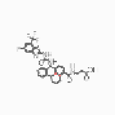 O=C(O)CCNC(=O)c1ccc(C(NC(=O)Nc2nc3cc(F)cc(C(F)(F)F)c3s2)c2ccccc2C2CC=CCC2)cc1